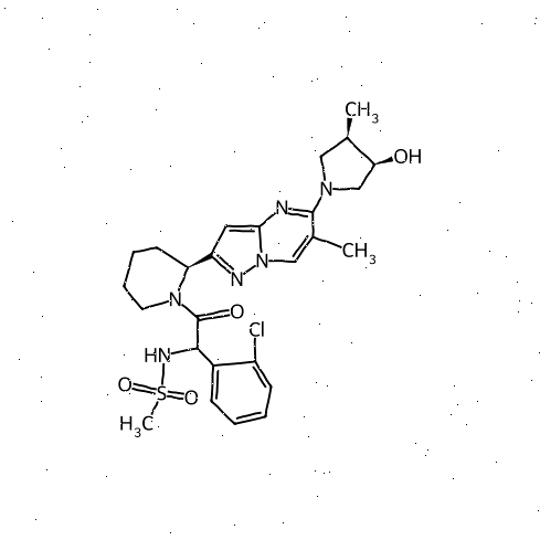 Cc1cn2nc([C@@H]3CCCCN3C(=O)C(NS(C)(=O)=O)c3ccccc3Cl)cc2nc1N1C[C@@H](C)[C@@H](O)C1